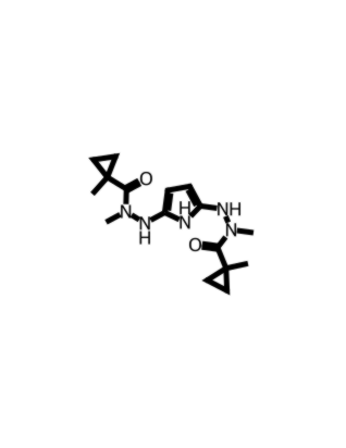 CN(Nc1ccc(NN(C)C(=O)C2(C)CC2)[nH]1)C(=O)C1(C)CC1